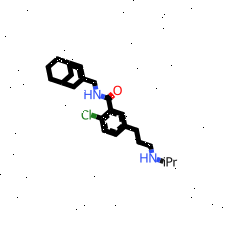 CC(C)NCCCc1ccc(Cl)c(C(=O)NCC2=C=C3CCCC(C3)C2)c1